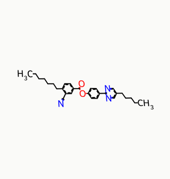 CCCCCCCc1ccc(C(=O)Oc2ccc(-c3ncc(CCCCC)cn3)cc2)cc1C#N